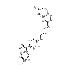 O=C1CCc2ccc(OCCCCN3CCN(c4noc5cc(F)ccc45)CC3)cc2N1